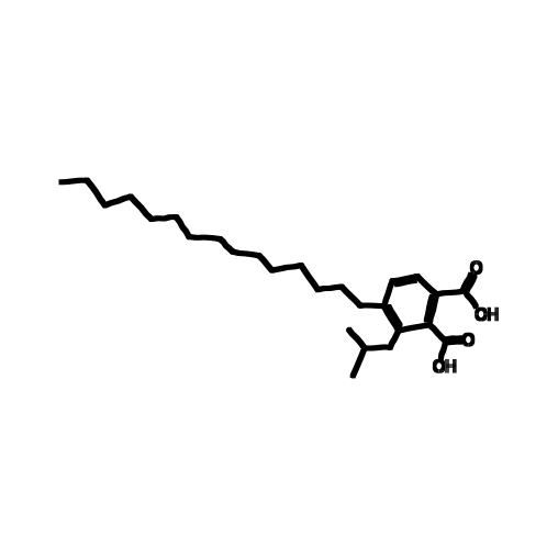 CCCCCCCCCCCCCCCc1ccc(C(=O)O)c(C(=O)O)c1CC(C)C